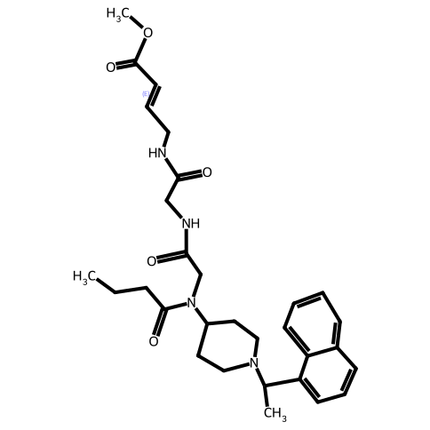 CCCC(=O)N(CC(=O)NCC(=O)NC/C=C/C(=O)OC)C1CCN(C(C)c2cccc3ccccc23)CC1